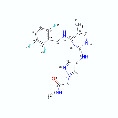 CNC(=O)Cn1cc(Nc2ncc(C)c(NCc3c(F)ccc(F)c3F)n2)cn1